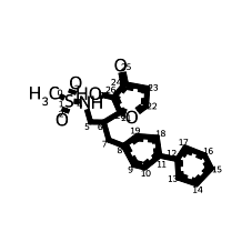 CS(=O)(=O)NCC(Cc1ccc(-c2ccccc2)cc1)c1occc(=O)c1O